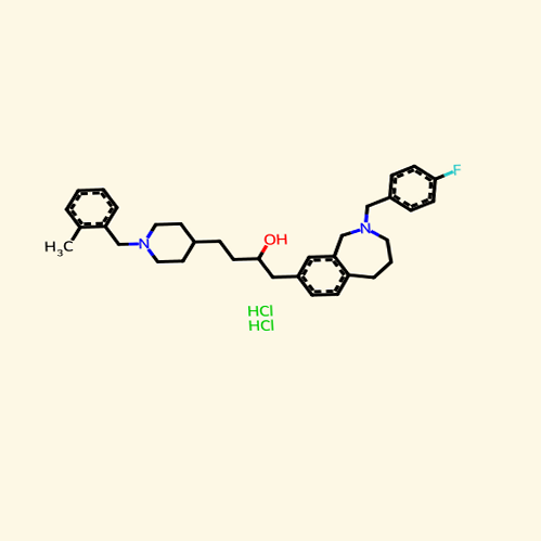 Cc1ccccc1CN1CCC(CCC(O)Cc2ccc3c(c2)CN(Cc2ccc(F)cc2)CCC3)CC1.Cl.Cl